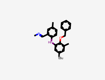 C/N=C/c1cc(C)ccc1Pc1cc(C(C)(C)C)cc(C)c1OCc1ccccc1